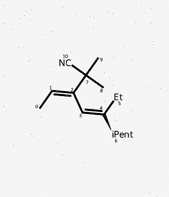 C/C=C(\C=C(/CC)[C@H](C)CCC)C(C)(C)C#N